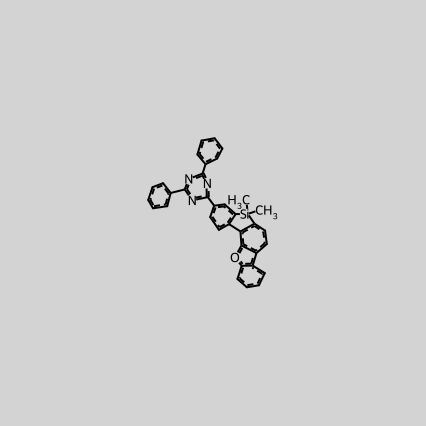 C[Si]1(C)c2cc(-c3nc(-c4ccccc4)nc(-c4ccccc4)n3)ccc2-c2c1ccc1c2oc2ccccc21